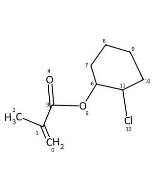 C=C(C)C(=O)OC1CCCCC1Cl